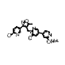 COc1cc(-c2cnn(Cc3c(-c4ccc(Cl)nc4)noc3C)c(=O)c2)ccn1